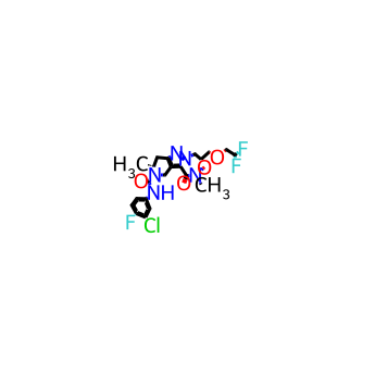 C[C@@H]1Cc2nn3c(c2CN1C(=O)Nc1ccc(F)c(Cl)c1)C(=O)N(C)OC(COCC(F)F)C3